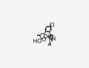 C=C(CC(O)c1ccc(Cl)cc1-c1cnn(C2CC2)c1)C(=O)O